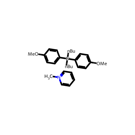 CCCC[B-](CCCC)(c1ccc(OC)cc1)c1ccc(OC)cc1.C[n+]1ccccc1